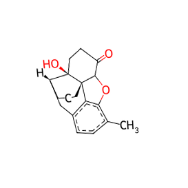 Cc1ccc2c3c1OC1C(=O)CC[C@@]4(O)[C@H](CCC[C@]314)C2